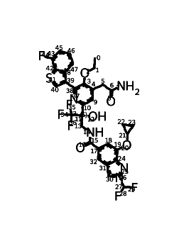 CCOc1c(CC(N)=O)cc([C@@](O)(CNC(=O)c2cc(OC3CC3)c3nn(C(F)F)cc3c2)C(F)(F)F)nc1-c1csc2c(F)cccc12